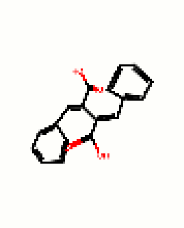 O=C(O)C(=C/c1ccccc1)/C(=C\c1ccccc1)C(=O)O